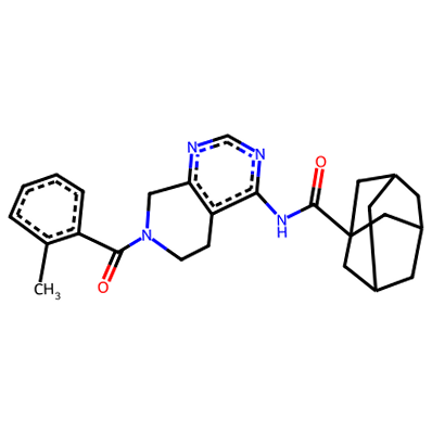 Cc1ccccc1C(=O)N1CCc2c(ncnc2NC(=O)C23CC4CC(CC(C4)C2)C3)C1